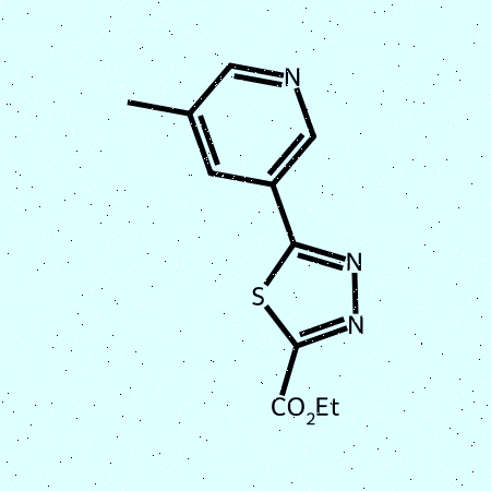 CCOC(=O)c1nnc(-c2cncc(C)c2)s1